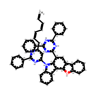 C=C/C=C\C=C/Cc1cc(-n2c3ccccc3c3c4oc5ccccc5c4cc(-c4nc(-c5ccccc5)nc(-c5ccccc5)n4)c32)nc(-c2ccccc2)n1